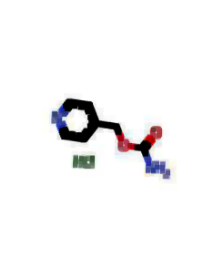 Cl.NC(=O)OCc1ccncc1